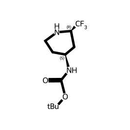 CC(C)(C)OC(=O)N[C@H]1CCN[C@@H](C(F)(F)F)C1